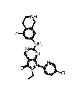 CCn1c(=O)c2cnc(Nc3cc(F)c4c(c3)CNCC4)nc2n1-c1ccc(Cl)cn1